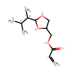 C=CC(=O)OCC1COC(C(C)C(C)C)O1